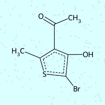 CC(=O)c1c(C)sc(Br)c1O